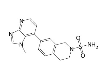 Cn1cnc2nccc(-c3ccc4c(c3)CN(S(N)(=O)=O)CC4)c21